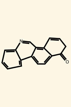 O=C1CC=Cc2c1ccc1c2cnc2ccccc21